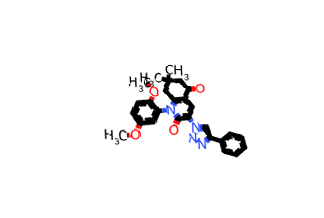 COc1ccc(OC)c(-n2c3c(cc(-n4cc(-c5ccccc5)nn4)c2=O)C(=O)CC(C)(C)C3)c1